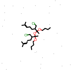 CCCCOC(C)(OC(C)(OCCCC)C(CCl)CCC=C(C)C)C(CCl)CCC=C(C)C